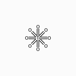 [O]=[Ti](=[O])(=[O])(=[O])(=[O])(=[O])(=[O])=[O]